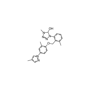 Cc1cnn(-c2ccc(OCc3c(C)cccc3N3N=NN(C)C3O)c(C)c2)c1